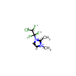 Cc1n(C(F)(F)C(F)Cl)cc[n+]1C